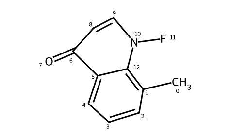 Cc1cccc2c(=O)ccn(F)c12